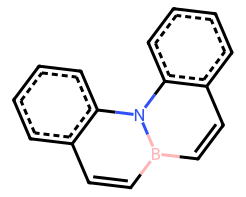 C1=Cc2ccccc2N2B1C=Cc1ccccc12